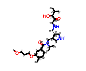 COCCCOc1cc(C(=O)N(C[C@@H]2CNC[C@H]2CNCC(=O)C(O)C(C)C)C(C)C)ccc1C